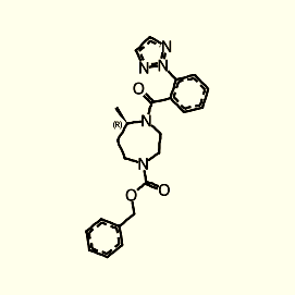 C[C@@H]1CCN(C(=O)OCc2ccccc2)CCN1C(=O)c1ccccc1-n1nccn1